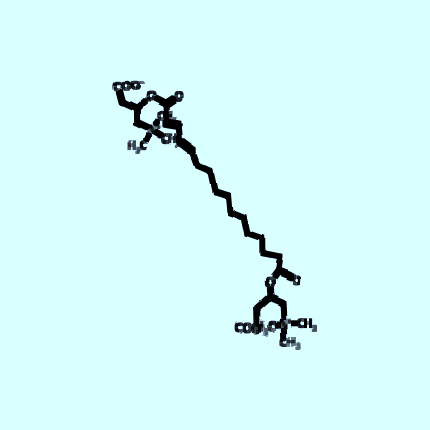 C[N+](C)(C)CC(CC(=O)[O-])OC(=O)C=CC=CCCCCCCCCCCC(=O)OC(CC(=O)[O-])C[N+](C)(C)C